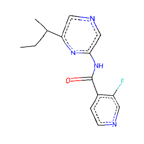 CCC(C)c1cncc(NC(=O)c2ccncc2F)n1